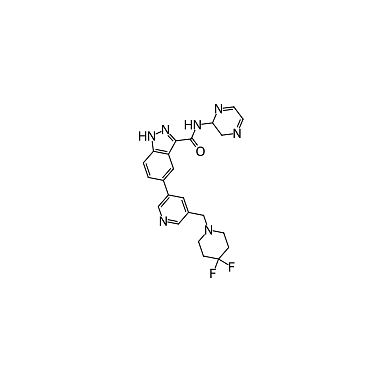 O=C(NC1CN=CC=N1)c1n[nH]c2ccc(-c3cncc(CN4CCC(F)(F)CC4)c3)cc12